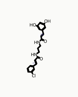 O=C(/C=C/c1cc(O)cc(O)c1)NCCCNC(=O)/C=C/c1cccc(Cl)c1